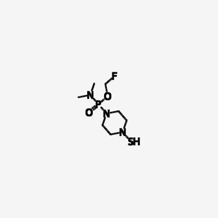 CN(C)P(=O)(OCF)N1CCN(S)CC1